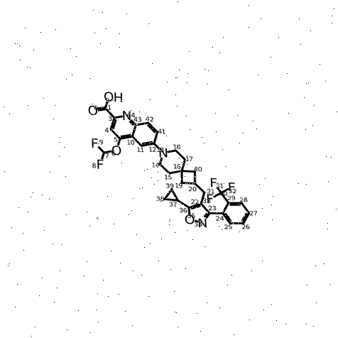 O=C(O)c1cc(OC(F)F)c2cc(N3CCC4(CC3)CC(Cc3c(-c5ccccc5C(F)(F)F)noc3C3CC3)C4)ccc2n1